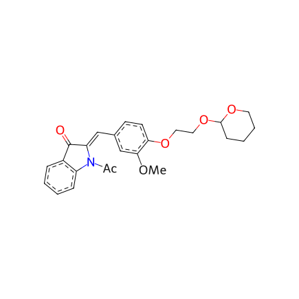 COc1cc(C=C2C(=O)c3ccccc3N2C(C)=O)ccc1OCCOC1CCCCO1